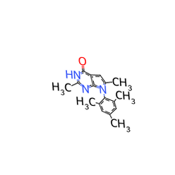 Cc1cc(C)c(-n2c(C)cc3c(=O)[nH]c(C)nc32)c(C)c1